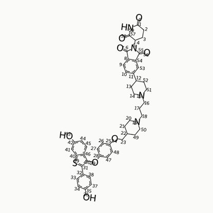 O=C1CCC(N2C(=O)c3ccc(C4CCN(CCCN5CCC(COc6ccc(Oc7c(-c8ccc(O)cc8)sc8cc(O)ccc78)cc6)CC5)CC4)cc3C2=O)C(=O)N1